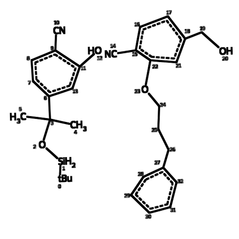 CC(C)(C)[SiH2]OC(C)(C)c1ccc(C#N)c(O)c1.N#Cc1ccc(CO)cc1OCCCc1ccccc1